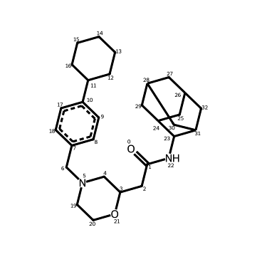 O=C(CC1CN(Cc2ccc(C3CCCCC3)cc2)CCO1)NC1C2CC3CC(C2)CC1C3